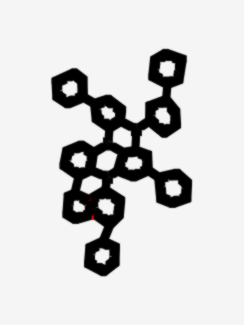 c1ccc(-c2ccc(N3c4cc(-c5ccccc5)cc5c4B(c4cc(-c6ccccc6)ccc4N5c4cccc(-c5ccccc5)c4)c4cccc(-c5ccccc5)c43)cc2)cc1